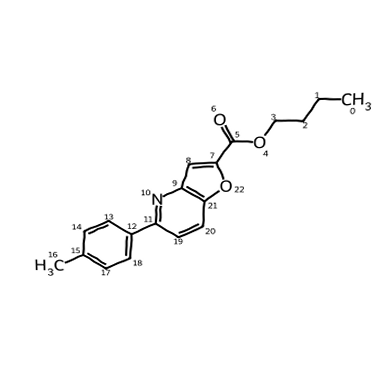 CCCCOC(=O)c1cc2nc(-c3ccc(C)cc3)ccc2o1